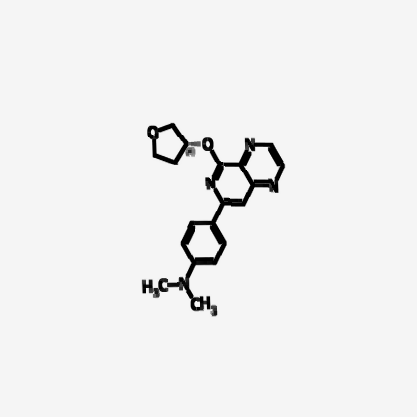 CN(C)c1ccc(-c2cc3nccnc3c(O[C@@H]3CCOC3)n2)cc1